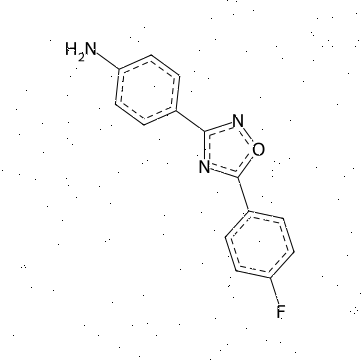 Nc1ccc(-c2noc(-c3ccc(F)cc3)n2)cc1